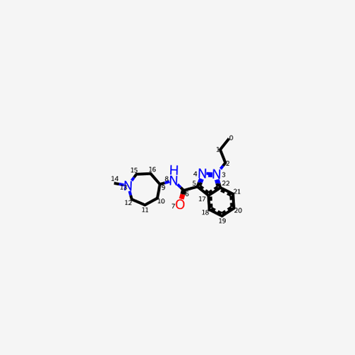 CCCn1nc(C(=O)NC2CCCN(C)CC2)c2ccccc21